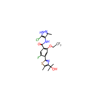 Cc1n[nH]c(Cl)c1NC(=O)c1cc(F)c(-c2nc(C(C)(C)O)c(C)s2)cc1OCC(F)(F)F